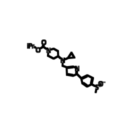 CC(C)OC(=O)N1CCC(N(Cc2ccc(-c3ccc([S+](C)[O-])cc3)nc2)C2CC2)CC1